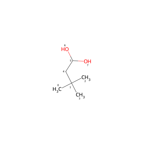 CC(C)(C)CC(O)O